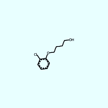 OCCCCOc1cc[c]cc1Cl